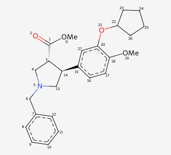 COC(=O)[C@H]1CN(Cc2ccccc2)C[C@@H]1c1ccc(OC)c(OC2CCCC2)c1